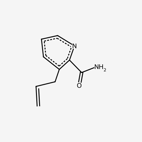 C=CCc1cccnc1C(N)=O